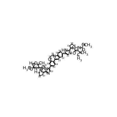 COC(=O)NC(C(=O)N1CCCC1c1ncc(-c2ccc3c(c2)cc2n3CCOc3cc(-c4cnc(C5CCCN5C(=O)[C@@H](NC(=O)OC)C(C)C)[nH]4)ccc3-2)[nH]1)C(C)C